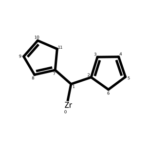 [Zr][CH](C1=CC=CC1)C1=CC=CC1